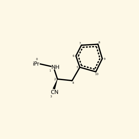 CC(C)N[C@H](C#N)Cc1ccccc1